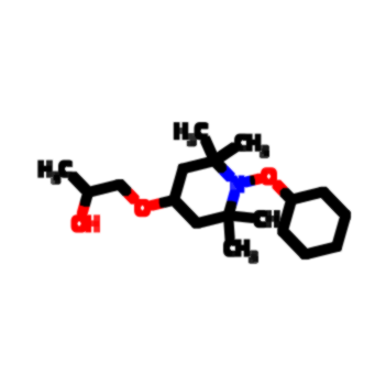 CC(O)COC1CC(C)(C)N(OC2CCCCC2)C(C)(C)C1